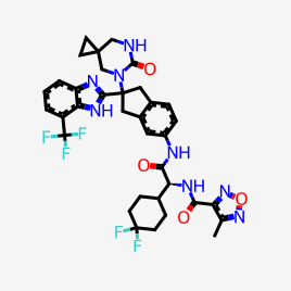 Cc1nonc1C(=O)N[C@H](C(=O)Nc1ccc2c(c1)CC(c1nc3cccc(C(F)(F)F)c3[nH]1)(N1CC3(CC3)CNC1=O)C2)C1CCC(F)(F)CC1